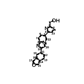 OCc1nc(-c2ccc3nc(-c4ccc5cocc5c4)cn3c2)cs1